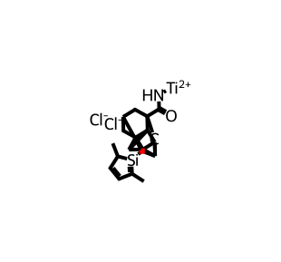 CC1=[Si](C2C3CC4(C(=O)[NH][Ti+2])CC25C2C46C4C6(C3)C245)C(C)C=C1.[Cl-].[Cl-]